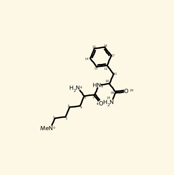 CNCCCCC(N)C(=O)NC(Cc1ccccc1)C(N)=O